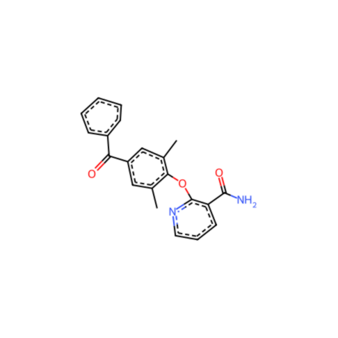 Cc1cc(C(=O)c2ccccc2)cc(C)c1Oc1ncccc1C(N)=O